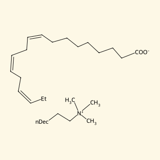 CC/C=C\C/C=C\C/C=C\CCCCCCCC(=O)[O-].CCCCCCCCCCCC[N+](C)(C)C